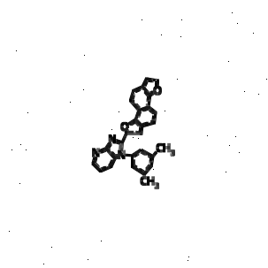 Cc1cc(C)cc(-n2c(-c3cc4ccc5c(ccc6ccoc65)c4o3)nc3ncccc32)c1